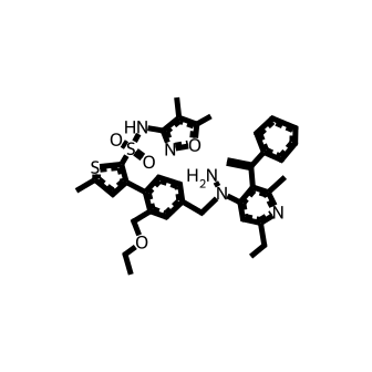 C=C(c1ccccc1)c1c(N(N)Cc2ccc(-c3cc(C)sc3S(=O)(=O)Nc3noc(C)c3C)c(COCC)c2)cc(CC)nc1C